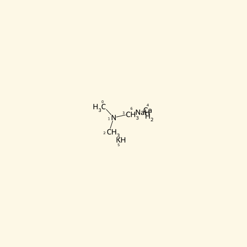 CN(C)C.[CaH2].[KH].[NaH]